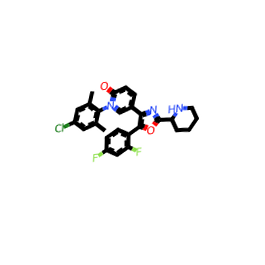 Cc1cc(Cl)cc(C)c1-n1cc(-c2nc(C3CCCCN3)oc2-c2ccc(F)cc2F)ccc1=O